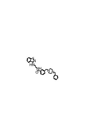 O=C(NCCNc1nsc2ccccc12)c1cccc(CN2CCN(Cc3ccccc3)CC2)c1